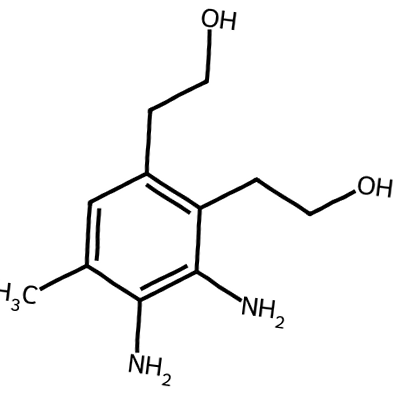 Cc1cc(CCO)c(CCO)c(N)c1N